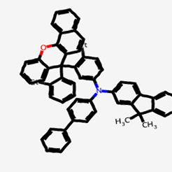 CCc1ccccc1C1(c2cc(N(c3ccc(-c4ccccc4)cc3)c3ccc4c(c3)C(C)(C)c3ccccc3-4)ccc2CC)c2ccccc2Oc2c1ccc1ccccc21